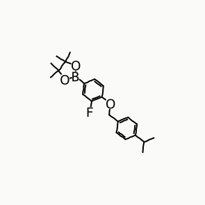 CC(C)c1ccc(COc2ccc(B3OC(C)(C)C(C)(C)O3)cc2F)cc1